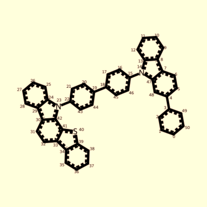 c1ccc(-c2ccc3c4ccccc4n(-c4ccc(-c5ccc(-n6c7ccccc7c7ccc8c9ccccc9sc8c76)cc5)cc4)c3c2)cc1